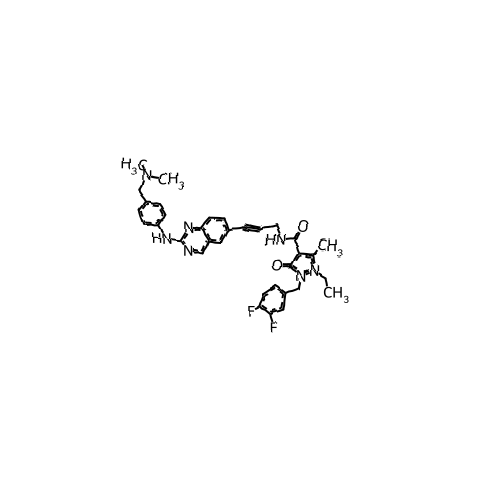 CCn1c(C)c(C(=O)NCC#Cc2ccc3nc(Nc4ccc(CN(C)C)cc4)ncc3c2)c(=O)n1Cc1ccc(F)c(F)c1